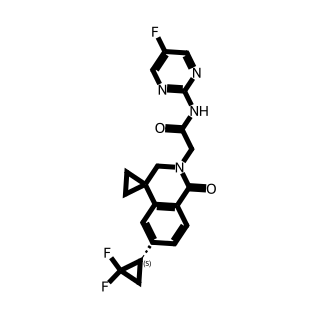 O=C(CN1CC2(CC2)c2cc([C@@H]3CC3(F)F)ccc2C1=O)Nc1ncc(F)cn1